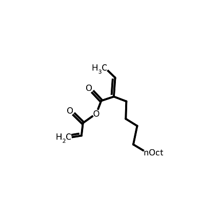 C=CC(=O)OC(=O)C(=CC)CCCCCCCCCCCC